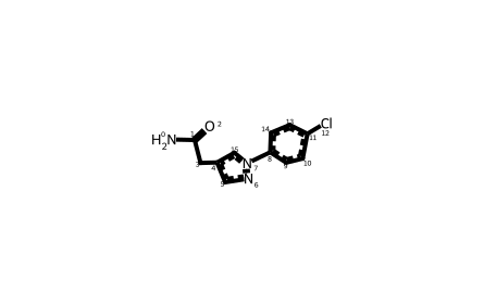 NC(=O)Cc1cnn(-c2ccc(Cl)cc2)c1